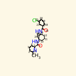 Cc1cccc(C(=O)NC23CCC[C@@](NC(=O)c4cccc(Cl)c4)(CC2)C3)n1